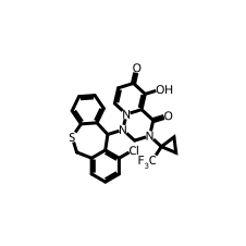 O=C1c2c(O)c(=O)ccn2N(C2c3ccccc3SCc3cccc(Cl)c32)CN1C1(C(F)(F)F)CC1